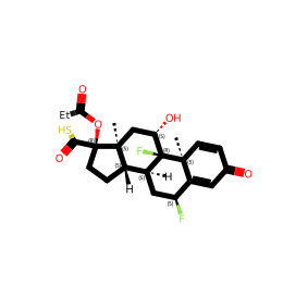 CCC(=O)O[C@]1(C(=O)S)CC[C@H]2[C@@H]3C[C@H](F)C4=CC(=O)C=C[C@]4(C)[C@@]3(F)[C@@H](O)C[C@@]21C